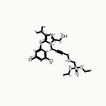 CCOP(=O)(COCC#CCn1c(CO)nc(C(C)C)c1Sc1cc(Cl)cc(Cl)c1)OCC